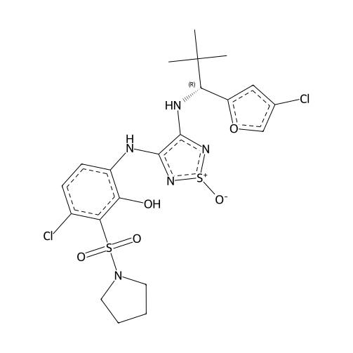 CC(C)(C)[C@@H](Nc1n[s+]([O-])nc1Nc1ccc(Cl)c(S(=O)(=O)N2CCCC2)c1O)c1cc(Cl)co1